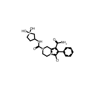 NC(=O)c1c(-c2ccccc2)c(Cl)n2c1CN(C(=O)NC1CCS(O)(O)C1)CC2